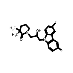 CC1(C)CCCN(CC(O)Cn2c3ccc(F)cc3c3cc(F)ccc32)C1=O